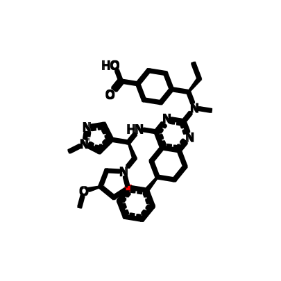 CC[C@H](C1CCC(C(=O)O)CC1)N(C)c1nc2c(c(N[C@@H](CN3CC[C@@H](OC)C3)c3cnn(C)c3)n1)C[C@H](c1ccccc1)CC2